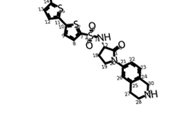 O=C1[C@@H](NS(=O)(=O)c2ccc(-c3ccc(Cl)s3)s2)CCN1c1ccc2c(c1)CCNC2